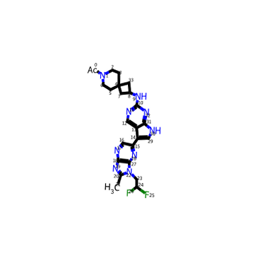 CC(=O)N1CCC2(CC1)CC(Nc1ncc3c(-c4cnc5nc(C)n(CC(F)F)c5n4)c[nH]c3n1)C2